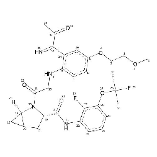 COCCOc1ccc(NCC(=O)N2[C@@H]3CC3C[C@H]2C(=O)Nc2cccc(OC(F)(F)F)c2F)c(C(=N)C(C)=O)c1